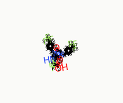 O=C(O)C(F)(F)F.O=C1CN(Cc2ccc(C(F)(F)F)cc2)C(=O)C2(CNC2)N1Cc1ccc(C(F)(F)F)cc1